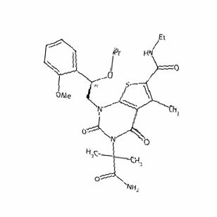 CCNC(=O)c1sc2c(c1C)c(=O)n(C(C)(C)C(N)=O)c(=O)n2C[C@H](OC(C)C)c1ccccc1OC